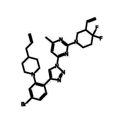 C=CCC1CCN(c2cc(Br)ccc2-c2cn(-c3cc(C)nc(N4CCC(F)(F)C(C=C)C4)n3)nn2)CC1